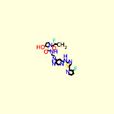 C=C(F)C(=O)N1CC[C@H](O)[C@H]1C(=O)NCCn1cnc2cnc(Nc3ncc(-c4ncccc4F)s3)cc21